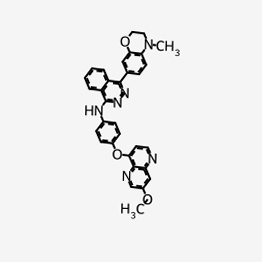 COc1cnc2c(Oc3ccc(Nc4nnc(-c5ccc6c(c5)OCCN6C)c5ccccc45)cc3)ccnc2c1